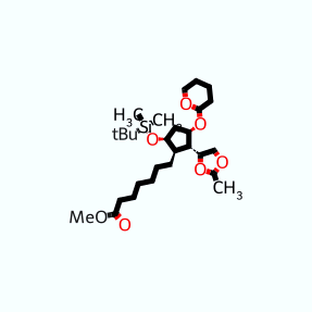 COC(=O)CCCCCC[C@@H]1[C@@H](C2COC(C)O2)[C@H](OC2CCCCO2)C[C@@H]1O[Si](C)(C)C(C)(C)C